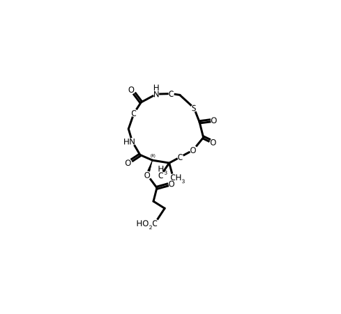 CC1(C)COC(=O)C(=O)SCCNC(=O)CCNC(=O)[C@@H]1OC(=O)CCC(=O)O